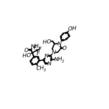 Cc1ccc(C(O)(C(N)=O)C(F)(F)F)cc1-c1cnc(N)c(N2CC(=O)N(c3ccc(O)cc3)C(CO)C2)n1